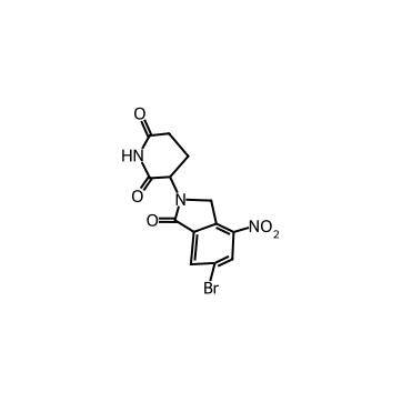 O=C1CCC(N2Cc3c(cc(Br)cc3[N+](=O)[O-])C2=O)C(=O)N1